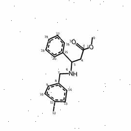 COC(=O)CC(NCc1ccc(C)cc1)c1ccccc1